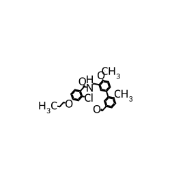 CCCOc1ccc(C(=O)NCc2cc(-c3cc(C=O)ccc3C)ccc2OC)c(Cl)c1